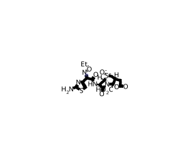 CCO/N=C(\C(=O)N[C@@H]1C(=O)N2[C@@H]1[S+]([O-])C[C@@H]1CC(=O)O[C@@]12C(=O)O)c1csc(N)n1